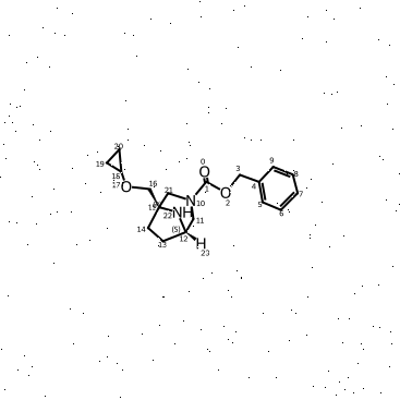 O=C(OCc1ccccc1)N1C[C@@H]2CC[C@](COC3CC3)(C1)N2